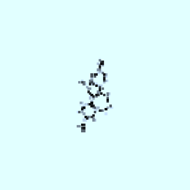 C=Cc1cc(O)ccc1C1=C(C)c2ccc(O)cc2CCC1